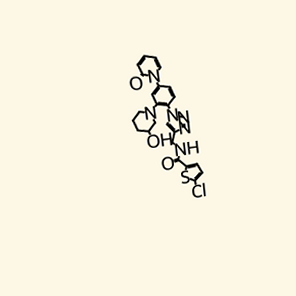 O=C(NCc1cn(-c2ccc(-n3ccccc3=O)cc2N2CCCC(O)C2)nn1)c1ccc(Cl)s1